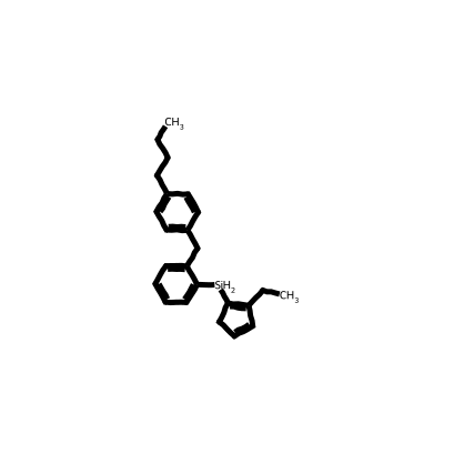 CCCCc1ccc(Cc2ccccc2[SiH2]C2=C(CC)C=CC2)cc1